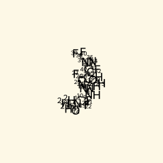 [2H]C([2H])([2H])Oc1nc(N[C@@H]2CCN(C(=O)C([2H])([2H])[2H])CC2(F)F)nn2cc(F)c(-c3cc(F)c4ncn(CC(F)F)c4c3)c12